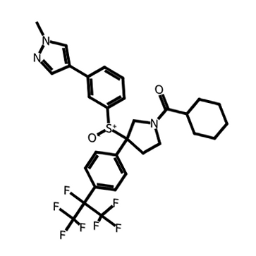 Cn1cc(-c2cccc([S+]([O-])C3(c4ccc(C(F)(C(F)(F)F)C(F)(F)F)cc4)CCN(C(=O)C4CCCCC4)C3)c2)cn1